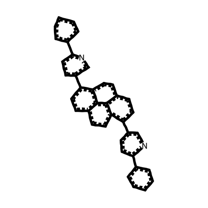 c1ccc(-c2ccc(-c3ccc4ccc5c(-c6ccc(-c7ccccc7)nc6)ccc6ccc3c4c65)cn2)cc1